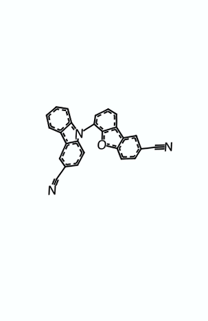 N#Cc1ccc2oc3c(-n4c5ccccc5c5cc(C#N)ccc54)cccc3c2c1